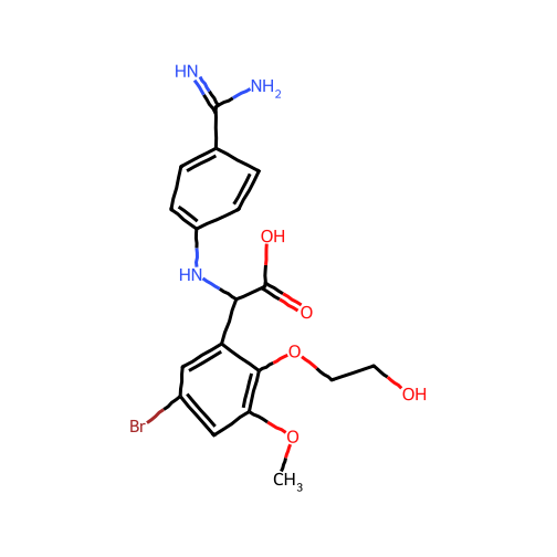 COc1cc(Br)cc(C(Nc2ccc(C(=N)N)cc2)C(=O)O)c1OCCO